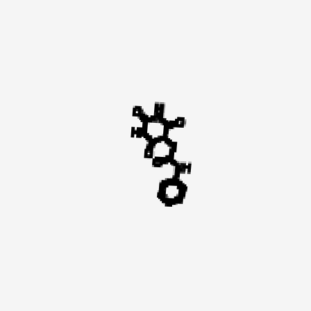 O=C1NC(=O)C(SC(=O)Nc2ccccc2)C(=O)N1